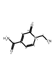 N#CCn1ccc(C(N)=O)cc1=O